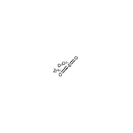 O=[Si]=O.[O-2].[O-2].[Zr+4]